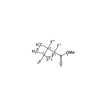 COC(=O)C(F)(F)C(C)(F)C(C)(F)C(F)(F)F